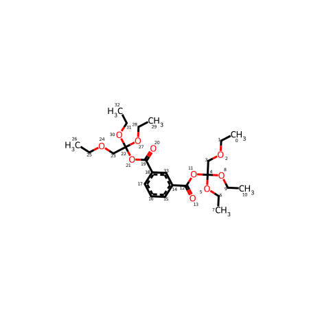 CCOCC(OCC)(OCC)OC(=O)c1cccc(C(=O)OC(COCC)(OCC)OCC)c1